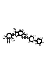 O=C1CCC(N2Cc3cc(CNC4CCN(c5ccccc5)CC4)ccc3C2=O)C(=O)N1